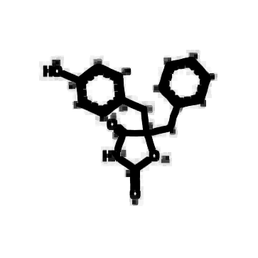 O=C1NC(=O)C(Cc2ccccc2)(Cc2ccc(O)cc2)O1